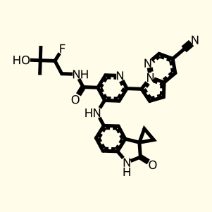 CC(C)(O)C(F)CNC(=O)c1cnc(-c2ccc3cc(C#N)cnn23)cc1Nc1ccc2c(c1)C1(CC1)C(=O)N2